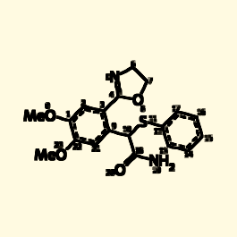 COc1cc(C2=NCCO2)c(C(Sc2ccccc2)C(N)=O)cc1OC